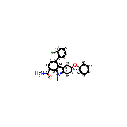 NC(=O)c1ccc(-c2ccccc2F)c2c3c([nH]c12)CCC(Oc1ccccc1)C3